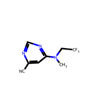 CN(CC(F)(F)F)c1cc(C#N)ncn1